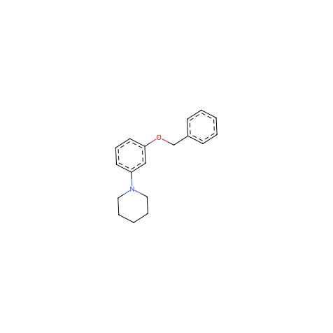 c1ccc(COc2cccc(N3CCCCC3)c2)cc1